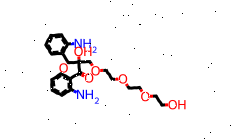 Nc1ccccc1C(=O)C(O)(COCCOCCOCCO)C(=O)c1ccccc1N